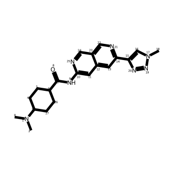 CN(C)C1CCC(C(=O)Nc2cc3cc(-c4cn(C)nn4)ncc3cn2)CC1